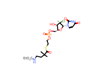 CCOC(=O)NCCC(C)(C)C(=O)SCCO[PH](=O)OC[C@H]1O[C@@H](n2ccc(=O)[nH]c2=O)[C@](C)(Cl)[C@@H]1O